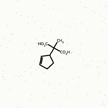 CC(C(=O)O)(C(=O)O)C1C=CCC1